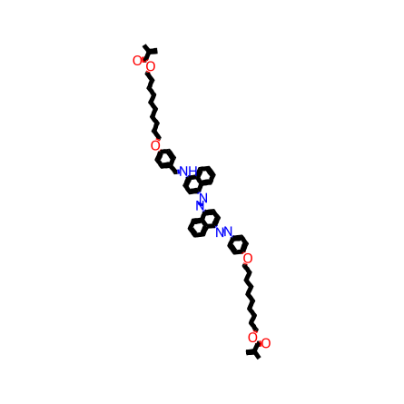 C=C(C)C(=O)OCCCCCCCCCCOc1ccc(CNc2ccc(/N=N/c3ccc(/N=N/c4ccc(OCCCCCCCCCCOC(=O)C(=C)C)cc4)c4ccccc34)c3ccccc23)cc1